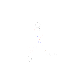 O=C(O)CSCCCNC(=O)[C@H](CCCNC(=O)OCc1ccccc1)NC(=O)c1cc2ccccc2o1